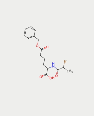 CC(Br)C(=O)NC(CCCC(=O)OCc1ccccc1)C(=O)O